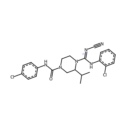 CC(C)C1CN(C(=O)Nc2ccc(Cl)cc2)CCN1/C(=N/C#N)Nc1ccccc1Cl